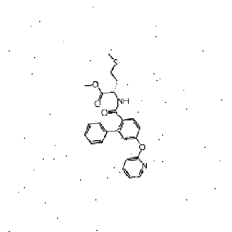 COC(=O)[C@H](CCSC)NC(=O)c1ccc(Oc2ccccn2)cc1-c1ccccc1